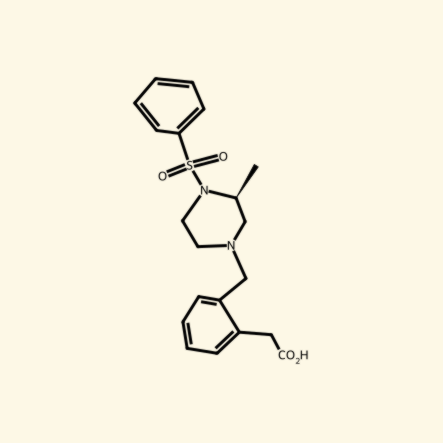 C[C@H]1CN(Cc2ccccc2CC(=O)O)CCN1S(=O)(=O)c1ccccc1